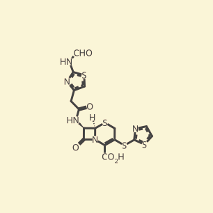 O=CNc1nc(CC(=O)N[C@@H]2C(=O)N3C(C(=O)O)=C(Sc4nccs4)CS[C@H]23)cs1